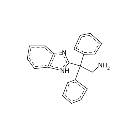 NCC(c1ccccc1)(c1ccccc1)c1nc2ccccc2[nH]1